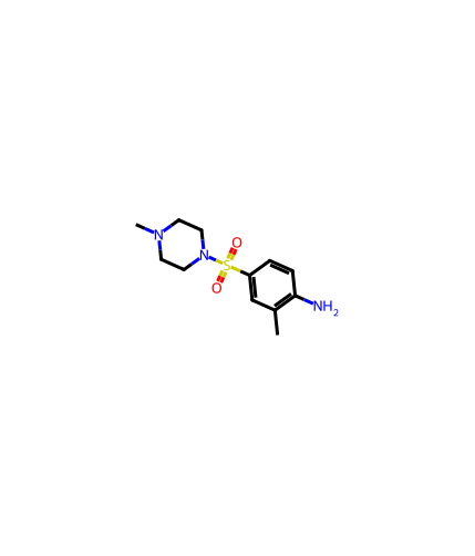 Cc1cc(S(=O)(=O)N2CCN(C)CC2)ccc1N